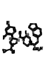 C[C@H]1CN(C(Cc2ccc3c(c2)CCC3)C(=O)O)CCN1C(=O)[C@@H]1CN(C(=O)C2CC2)C[C@H]1c1ccc(F)cc1F